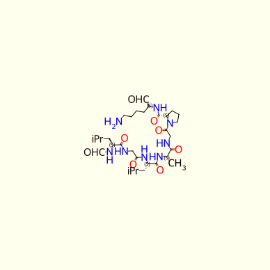 CC(C)C[C@H](NC=O)C(=O)NCC(=O)N[C@@H](CC(C)C)C(=O)N[C@@H](C)C(=O)NCC(=O)N1CCC[C@H]1C(=O)N[C@H](C=O)CCCCN